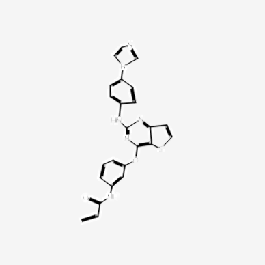 C=CC(=O)Nc1cccc(Oc2nc(Nc3ccc(-n4ccnc4)cc3)nc3ccsc23)c1